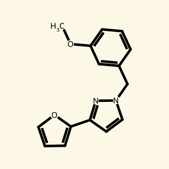 COc1cccc(Cn2ccc(-c3ccco3)n2)c1